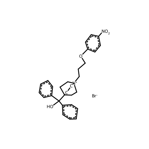 O=[N+]([O-])c1ccc(OCCC[N+]23CCC(C(O)(c4ccccc4)c4ccccc4)(CC2)CC3)cc1.[Br-]